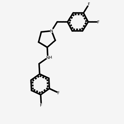 Fc1ccc(CNC2CCN(Cc3ccc(F)c(F)c3)C2)cc1F